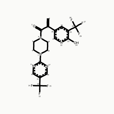 C=C(C(=O)N1CCN(c2ncc(C(F)(F)F)cn2)CC1)c1cnc(O)c(C(F)(F)F)c1